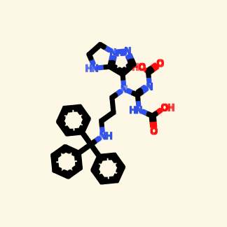 O=C(O)N=C(NC(=O)O)N(CCCNC(c1ccccc1)(c1ccccc1)c1ccccc1)c1cnn2c1NCC2